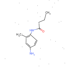 CCCC(=O)Nc1ccc(N)cc1C